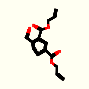 C=CCOC(=O)c1ccc([C]=O)c(C(=O)OCC=C)c1